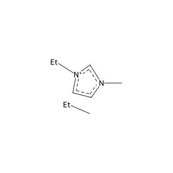 CCC.CC[n+]1ccn(C)c1